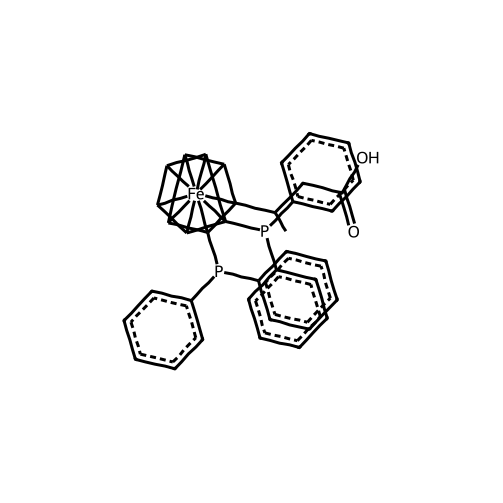 CC(CC(=O)O)[C]12[CH]3[CH]4[CH]5[C]1(P(c1ccccc1)c1ccccc1)[Fe]43521678[CH]2[CH]1[CH]6[C]7(P(c1ccccc1)c1ccccc1)[CH]28